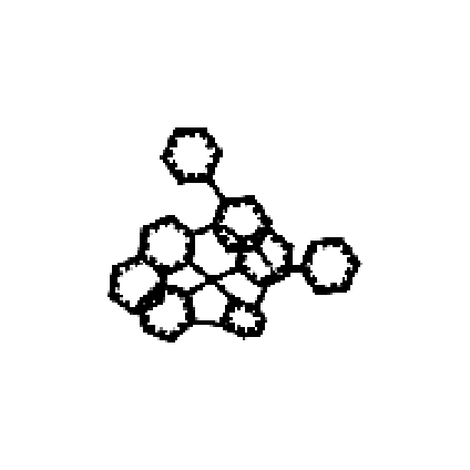 c1ccc(-c2ccc(N(c3ccccc3)c3cccc4c3C3(c5ccccc5Sc5ccc6ccccc6c53)c3ccccc3-4)cc2)cc1